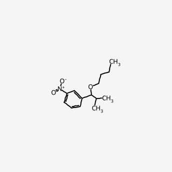 CCCCOC(c1cccc([N+](=O)[O-])c1)C(C)C